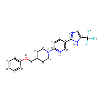 FC(F)(F)c1cnc(-c2ccc(N3CCC(COc4ccccc4)CC3)nc2)[nH]1